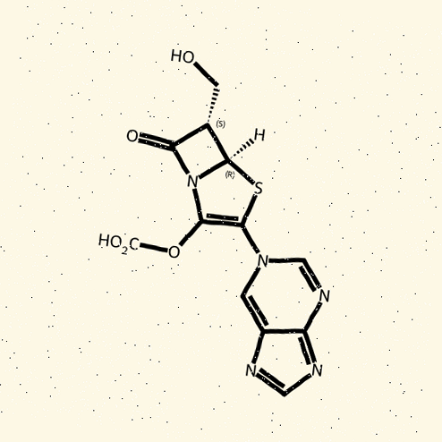 O=C(O)OC1=C(n2cnc3ncnc-3c2)S[C@@H]2[C@@H](CO)C(=O)N12